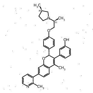 CC1=C(c2cccc(O)c2)C(c2ccc(OC[C@H](C)N3CC[C@@H](C)C3)cc2)Oc2cc(-c3cccnc3C)ccc21